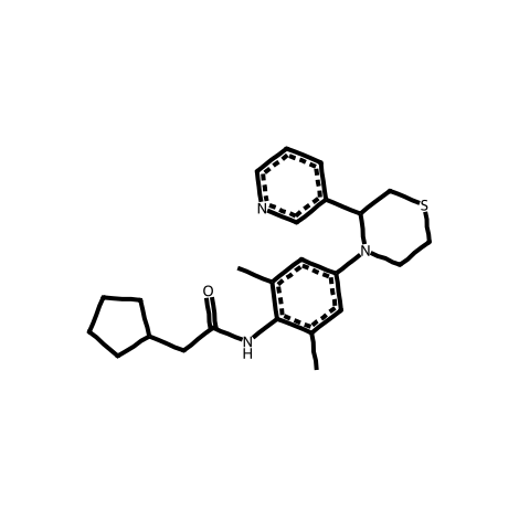 Cc1cc(N2CCSCC2c2cccnc2)cc(C)c1NC(=O)CC1CCCC1